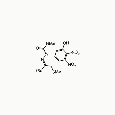 CNC(=O)ON=C(CSC)C(C)(C)C.O=[N+]([O-])c1cccc(O)c1[N+](=O)[O-]